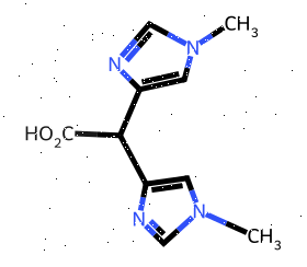 Cn1cnc(C(C(=O)O)c2cn(C)cn2)c1